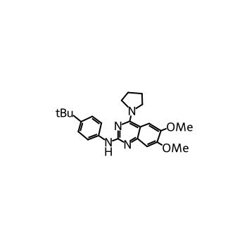 COc1cc2nc(Nc3ccc(C(C)(C)C)cc3)nc(N3CCCC3)c2cc1OC